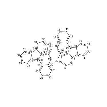 C1=CC2c3ccccc3N(c3ccccc3-c3ccc(-c4ccccc4-n4c5ccccc5c5ccccc54)cc3)C2C=C1